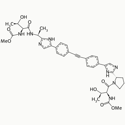 COC(=O)N[C@H](C(=O)N[C@@H](C)c1ncc(-c2ccc(C#Cc3ccc(-c4cnc([C@@H]5CCCN5C(=O)[C@@H](NC(=O)OC)[C@@H](C)O)[nH]4)cc3)cc2)[nH]1)[C@@H](C)O